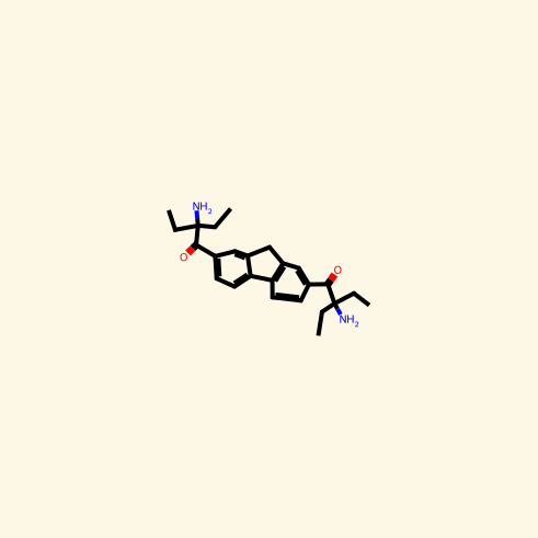 CCC(N)(CC)C(=O)c1ccc2c(c1)Cc1cc(C(=O)C(N)(CC)CC)ccc1-2